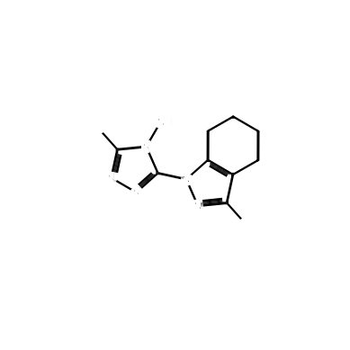 Cc1nn(-c2nnc(S)n2N)c2c1CCCC2